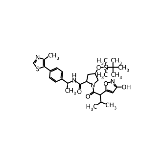 Cc1ncsc1-c1ccc([C@H](C)NC(=O)C2C[C@@H](O[Si](C)(C)C(C)(C)C)CN2C(=O)C(c2cc(O)no2)C(C)C)cc1